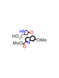 COC(=O)c1ccc2ccc(OC)cc2n1.O=C1CN[C@H](C(=O)O)C1